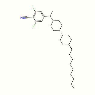 CCCCCCCCC[C@H]1CC[C@H](C2CCC(C(C)c3cc(F)c(C#N)c(F)c3)CC2)CC1